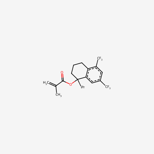 C=C(C)C(=O)OC1(C(C)C)CCCc2c(C(F)(F)F)cc(C(F)(F)F)cc21